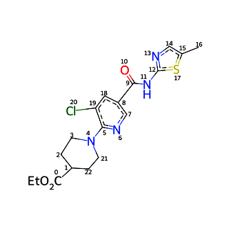 CCOC(=O)C1CCN(c2ncc(C(=O)Nc3ncc(C)s3)cc2Cl)CC1